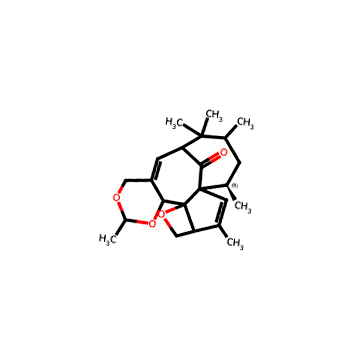 CC1=CC23C(=O)C(C=C4COC(C)OC4C24OCC14)C(C)(C)C(C)C[C@H]3C